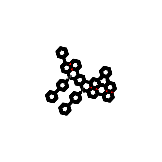 c1ccc(-c2ccc(N(c3ccc(-c4ccccc4)cc3)c3cc(N(c4ccc(-c5ccccc5)cc4)c4ccc(-c5ccccc5)cc4)c(-c4ccc5c6ccccc6c6ccccc6c5c4)cc3-c3ccccc3)cc2)cc1